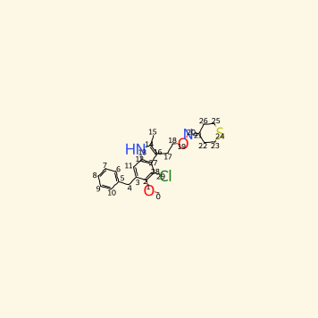 COc1c(Cc2ccccc2)cc2[nH]c(C)c(CCON=C3CCSCC3)c2c1Cl